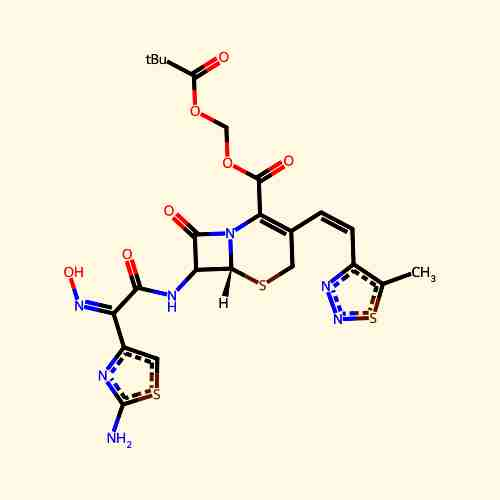 Cc1snnc1/C=C\C1=C(C(=O)OCOC(=O)C(C)(C)C)N2C(=O)C(NC(=O)/C(=N\O)c3csc(N)n3)[C@H]2SC1